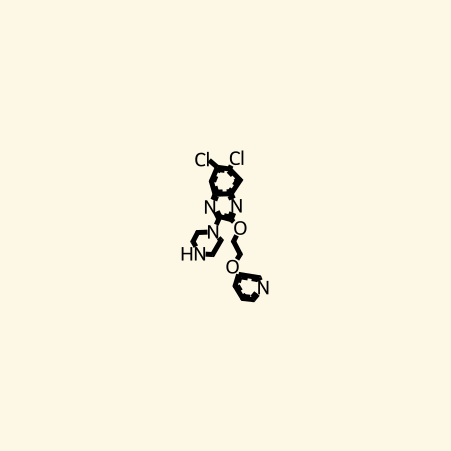 Clc1cc2nc(OCCOc3cccnc3)c(N3CCNCC3)nc2cc1Cl